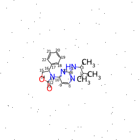 CC(C)C(C)Nc1nccc(N2C(=O)OCC2c2ccccc2)n1